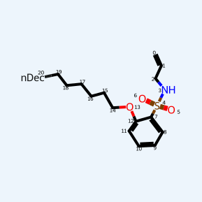 C=CCNS(=O)(=O)c1ccccc1OCCCCCCCCCCCCCCCC